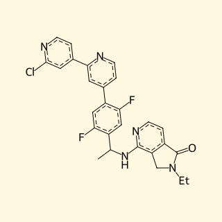 CCN1Cc2c(ccnc2NC(C)c2cc(F)c(-c3ccnc(-c4ccnc(Cl)c4)c3)cc2F)C1=O